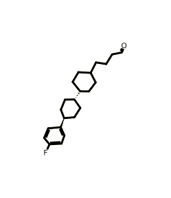 O=CCCCC1CCC([C@H]2CC[C@H](c3ccc(F)cc3)CC2)CC1